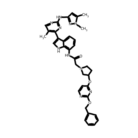 Cc1cnc(Nc2cc(C)n(C)n2)nc1-c1c[nH]c2c(NC(=O)CN3CCC(Oc4ccnc(OCc5ccccc5)n4)C3)cccc12